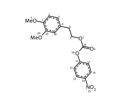 COc1ccc(CCOC(=O)Oc2ccc([N+](=O)[O-])cc2)cc1OC